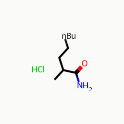 CCCCCCC(C)C(N)=O.Cl